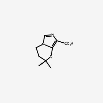 CC1(C)CCn2cnc(C(=O)O)c2O1